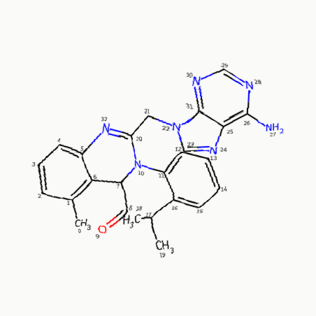 Cc1cccc2c1C(C=O)N(c1ccccc1C(C)C)C(Cn1cnc3c(N)ncnc31)=N2